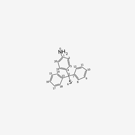 Nc1ccc(C([S])(c2ccccc2)c2ccccc2)cc1